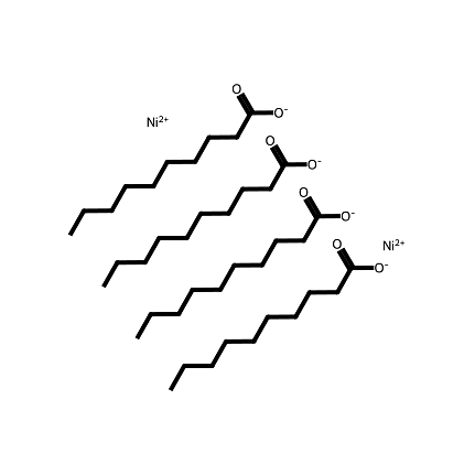 CCCCCCCCCC(=O)[O-].CCCCCCCCCC(=O)[O-].CCCCCCCCCC(=O)[O-].CCCCCCCCCC(=O)[O-].[Ni+2].[Ni+2]